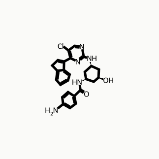 Nc1ccc(C(=O)N[C@H]2C[C@H](O)C[C@@H](Nc3ncc(Cl)c(C4=CCc5ccccc54)n3)C2)cc1